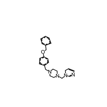 C1=CN=CN(CN2CCN(Cc3ccc(OCc4ccccc4)cc3)CC2)C1